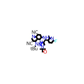 Cc1nc(F)ccc1C(Nc1cc(C#N)c2ncc(C#N)c(NCC(C)(C)C)c2c1)c1cn(C2(C)COC2)nn1